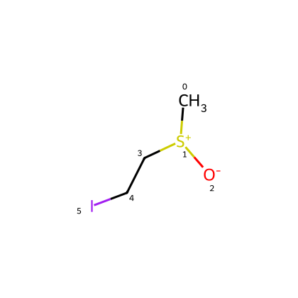 C[S+]([O-])CCI